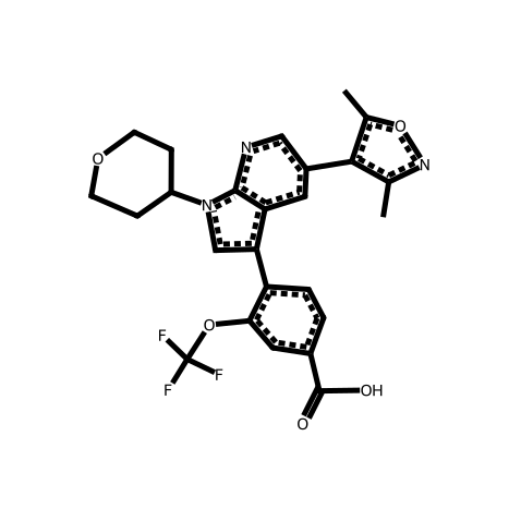 Cc1noc(C)c1-c1cnc2c(c1)c(-c1ccc(C(=O)O)cc1OC(F)(F)F)cn2C1CCOCC1